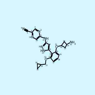 N#Cc1cnc(Nc2cc(-c3c(OCC4CC4)cccc3OC3CC(N)C3)[nH]n2)cn1